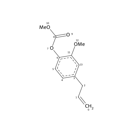 C=CCc1ccc(OC(=O)OC)c(OC)c1